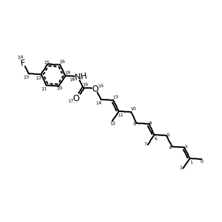 CC(C)=CCC/C(C)=C/CC/C(C)=C/COC(=O)Nc1ccc(CF)cc1